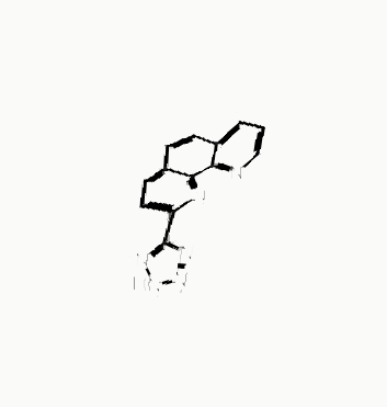 c1cnc2c(c1)ccc1ccc(-c3nn[nH]n3)nc12